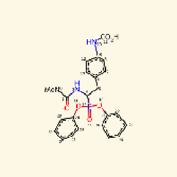 CNC(=O)NC(Cc1ccc(NC(=O)O)cc1)P(=O)(Oc1ccccc1)Oc1ccccc1